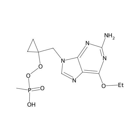 CCOc1nc(N)nc2c1ncn2CC1(OOP(C)(=O)O)CC1